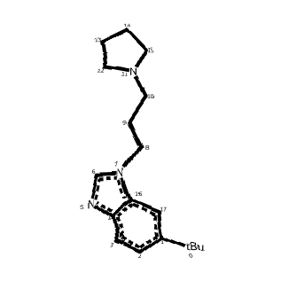 CC(C)(C)c1ccc2ncn(CCCN3CCCC3)c2c1